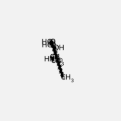 CCCCCCCCCCCCCCCCC(O)COP(=O)(O)O.CNC